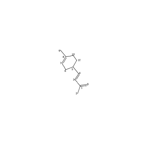 C=C(C)C=CC1CC=C(C)CC1